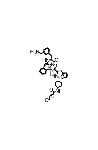 NCc1cccc(C[C@H](NC(=O)Cc2ccccc2CNC(=O)[C@H](Cc2ccco2)NC[C@H]2CC[C@@H](NC(=O)/C=C/C=O)CC2)C(N)=O)c1